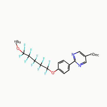 CCCCCCCCCCc1cnc(-c2ccc(OC(F)(F)C(F)(F)C(F)(F)C(F)(F)C(F)(F)OCCCC)cc2)nc1